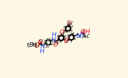 CC(=O)N(O)/N=C/c1ccc(Oc2cc(Oc3cccc(Br)c3)cc(C(=O)NC3CCC(NC(=O)OC(C)(C)C)CC3)c2)cc1